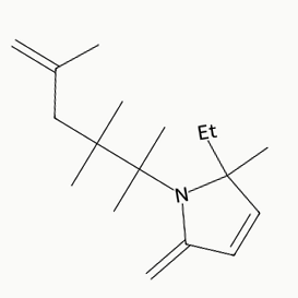 C=C(C)CC(C)(C)C(C)(C)N1C(=C)C=CC1(C)CC